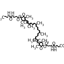 CC(C=CC=C(C)C=CC1=C(C)C(=O)C(OC(=O)CCNC(=O)NCCC(=O)O)CC1(C)C)=CC=CC=C(C)C=CC=C(C)C=CC1=C(C)C(=O)C(OC(=O)CCNC(=O)NCCC(=O)O)CC1(C)C